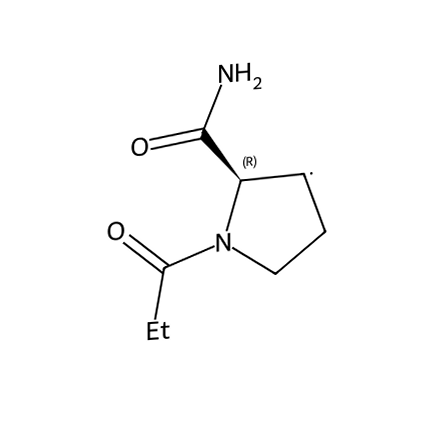 CCC(=O)N1CC[CH][C@@H]1C(N)=O